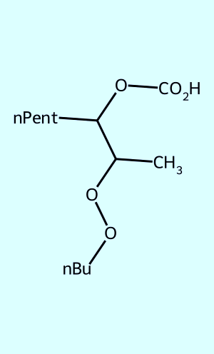 CCCCCC(OC(=O)O)C(C)OOCCCC